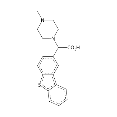 CN1CCN(C(C(=O)O)c2ccc3sc4ccccc4c3c2)CC1